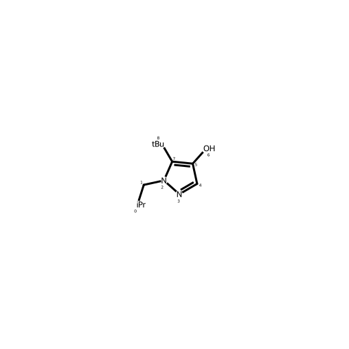 CC(C)Cn1ncc(O)c1C(C)(C)C